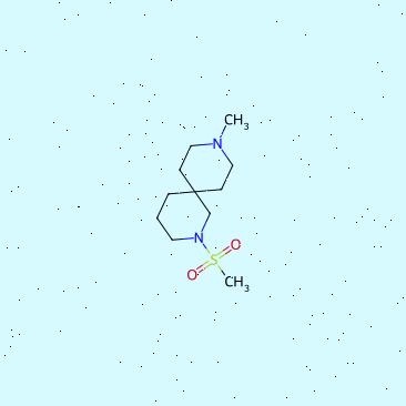 CN1CCC2(CCCN(S(C)(=O)=O)C2)CC1